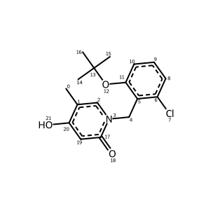 Cc1cn(Cc2c(Cl)cccc2OC(C)(C)C)c(=O)cc1O